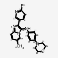 Cc1ccc2nc(-c3ccc(F)nc3)c(Nc3ccc(N4CCOCC4)cc3)n2c1